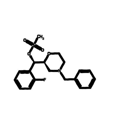 CS(=O)(=O)O[C@H](c1ccccc1F)[C@@H]1CN(Cc2ccccc2)CCO1